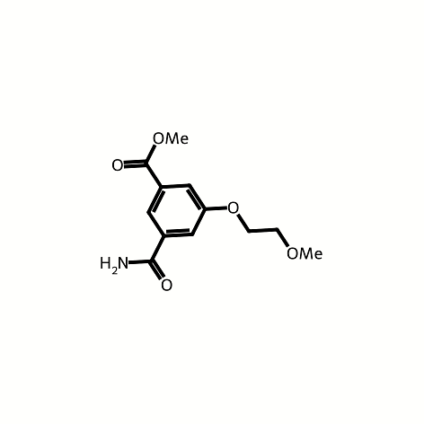 COCCOc1cc(C(N)=O)cc(C(=O)OC)c1